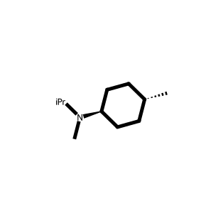 CC(C)N(C)[C@H]1CC[C@H](C)CC1